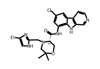 CCc1c[nH]c(CN2CC(C)(C)OC[C@H]2C(=O)Nc2cc(Cl)cc3c2[nH]c2cnccc23)n1